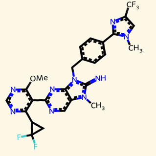 COc1ncnc(C2CC2(F)F)c1-c1ncc2c(n1)n(Cc1ccc(-c3nc(C(F)(F)F)cn3C)cc1)c(=N)n2C